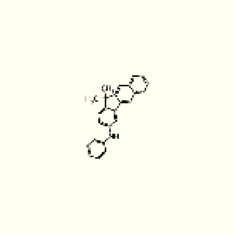 CC1(C)c2ccc(Nc3ccccc3)cc2-c2cc3ccccc3cc21